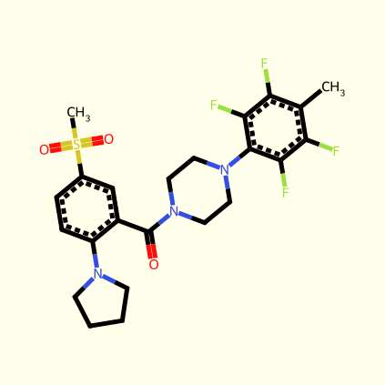 Cc1c(F)c(F)c(N2CCN(C(=O)c3cc(S(C)(=O)=O)ccc3N3CCCC3)CC2)c(F)c1F